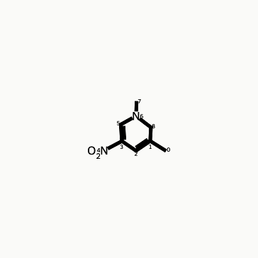 CC1=CC([N+](=O)[O-])=CN(C)C1